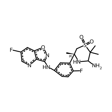 CC1(C)C(N)N[C@](C)(c2cc(Nc3noc4cc(F)cnc34)ccc2F)CS1(=O)=O